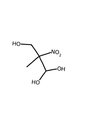 CC(CO)(C(O)O)[N+](=O)[O-]